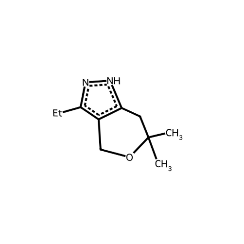 CCc1n[nH]c2c1COC(C)(C)C2